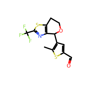 Cc1sc(C=O)cc1C1OCCc2sc(C(F)(F)F)nc21